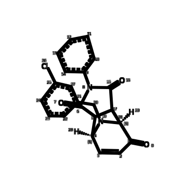 O=C1C=C[C@H]2C3C(=O)N(c4ccccc4)C(=O)C3[C@@H]1N2Cc1cccc(Cl)c1